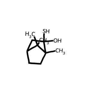 CC1(C)C2CCC1(C)C(O)(S)C2